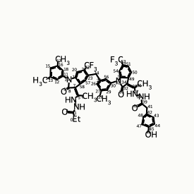 CCC(=O)NN/C(C)=C1\C(=O)N(c2cc(C)cc(C)c2)c2cc(C(F)(F)F)c(Cc3cc(C)cc(N4C(=O)/C(=C(/C)NNC(=O)Cc5ccc(O)cc5)c5ccc(C(F)(F)F)cc54)c3)cc21